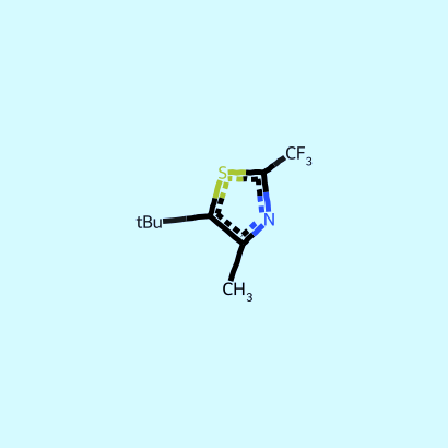 Cc1nc(C(F)(F)F)sc1C(C)(C)C